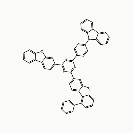 c1ccc(-c2cccc3oc4cc(-c5nc(-c6ccc(-n7c8ccccc8c8ccccc87)cc6)nc(-c6ccc7c(c6)oc6ccccc67)n5)ccc4c23)cc1